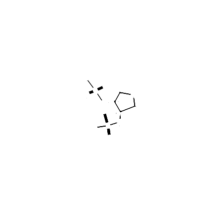 CS(=O)(=O)O[C@@H]1COC[C@H]1OS(C)(=O)=O